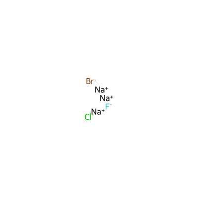 [Br-].[Cl-].[F-].[Na+].[Na+].[Na+]